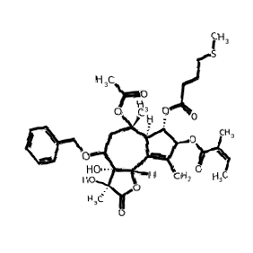 C/C=C(/C)C(=O)O[C@H]1C(C)=C2[C@H]([C@@H]1OC(=O)CCCSC)[C@@](C)(OC(C)=O)CC(OCc1ccccc1)[C@@]1(O)[C@H]2OC(=O)[C@@]1(C)O